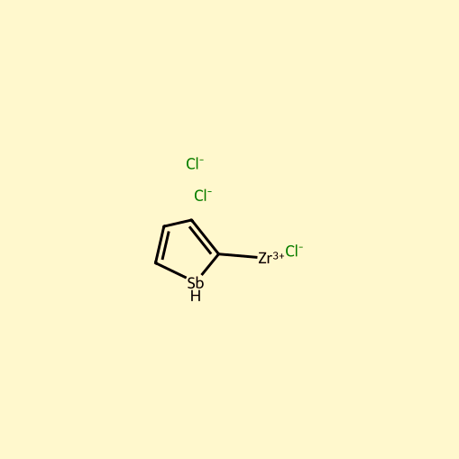 [Cl-].[Cl-].[Cl-].[Zr+3][C]1=CC=[CH][SbH]1